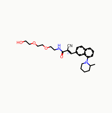 CC1CCCCN1c1cccc2ccc(/C=C(\C#N)C(=O)NCCOCCOCCO)cc12